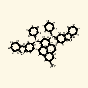 CC(C)c1cc2ccc3c(N(c4ccccc4)c4ccc5oc6ccccc6c5c4)cc(N(c4ccccc4)c4ccc5oc6ccccc6c5c4)c4ccc(c1)c2c34